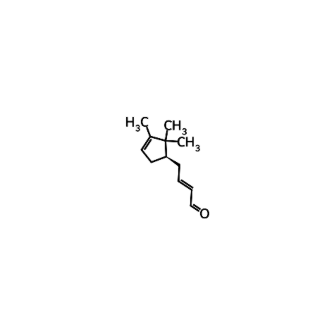 CC1=CC[C@H](C/C=C/C=O)C1(C)C